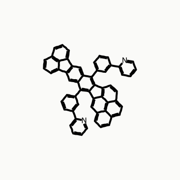 c1ccc(-c2cccc(-c3c4cc5c(cc4c(-c4cccc(-c6ccccn6)c4)c4c6cc7cccc8ccc9ccc(c34)c6c9c87)c3cccc4cccc5c43)c2)nc1